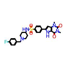 Cn1c(=O)c2[nH]c(-c3ccc(S(=O)(=O)NC4CCN(Cc5ccc(F)cc5)CC4)cc3)cc2n(C)c1=O